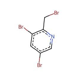 BrCc1ncc(Br)cc1Br